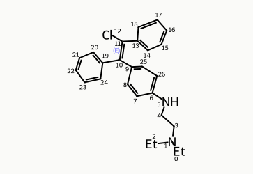 CCN(CC)CCNc1ccc(/C(=C(/Cl)c2ccccc2)c2ccccc2)cc1